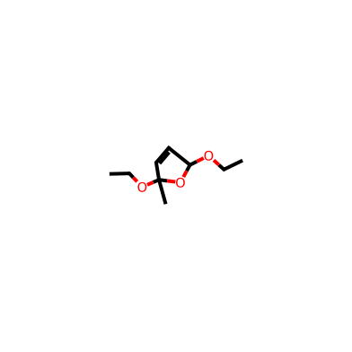 CCOC1C=CC(C)(OCC)O1